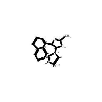 CC1OC(c2cccc3ccccc23)C(n2ccnc2)O1.Cl